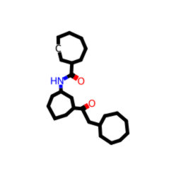 O=C(CC1CCCCCCC1)C1CCCCC(NC(=O)C2CCCCCCC2)C1